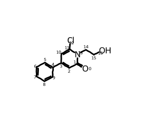 O=c1cc(-c2ccccc2)cc(Cl)n1CCO